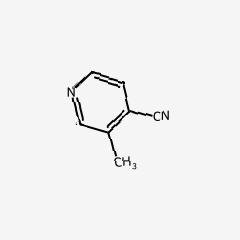 Cc1[c]nccc1C#N